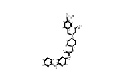 O=C(CN1CCC(N(CCO)Cc2ccc(C(=O)O)cc2)CC1)Nc1ccc(Oc2ccccc2)cc1